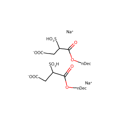 CCCCCCCCCCOC(=O)C(CC(=O)[O-])S(=O)(=O)O.CCCCCCCCCCOC(=O)C(CC(=O)[O-])S(=O)(=O)O.[Na+].[Na+]